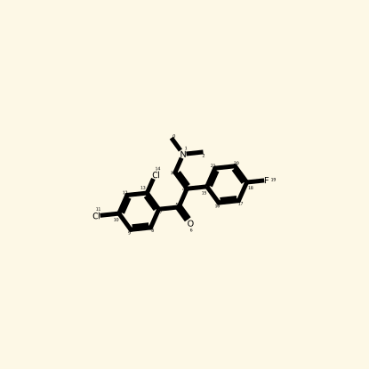 CN(C)/C=C(/C(=O)c1ccc(Cl)cc1Cl)c1ccc(F)cc1